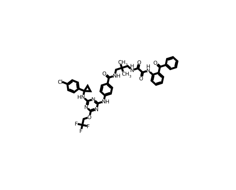 CC(C)(CNC(=O)C(=O)Nc1ccccc1C(=O)c1ccccc1)CNC(=O)c1ccc(Nc2nc(NC3(c4ccc(Cl)cc4)CC3)nc(OCC(F)(F)F)n2)cc1